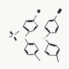 Cc1ccc(Nc2ccc([N+]#N)cc2)cc1.Cc1ccc(Nc2ccc([N+]#N)cc2)cc1.O=S(=O)([O-])[O-]